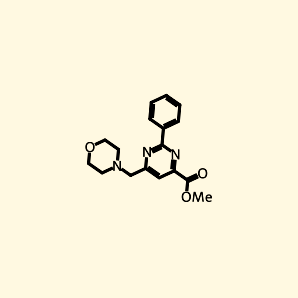 COC(=O)c1cc(CN2CCOCC2)nc(-c2ccccc2)n1